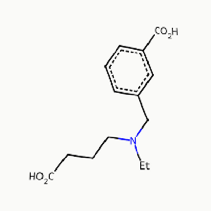 CCN(CCCC(=O)O)Cc1cccc(C(=O)O)c1